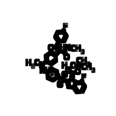 CNC(=O)c1c(-c2ccc(F)cc2)oc2cc(N(C)N)c([C@H]3CCCN(S(=O)(=O)c4cc5cccc(F)c5n4C(=O)OC(C)(C)C)C3)cc12